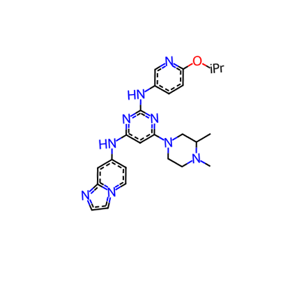 CC(C)Oc1ccc(Nc2nc(Nc3ccn4ccnc4c3)cc(N3CCN(C)C(C)C3)n2)cn1